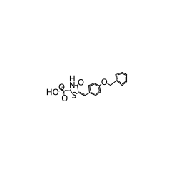 O=C1NC(S(=O)(=O)O)SC1=Cc1ccc(OCc2ccccc2)cc1